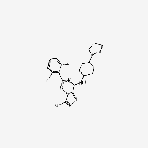 Fc1cccc(F)c1-c1nc(NC2CCC(N3CCCC3)CC2)c2ncc(Cl)n2n1